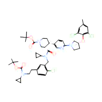 Cc1cc(Cl)c(O[C@@H]2CCN(c3ccc([C@@H]4CCN(C(=O)OC(C)(C)C)C[C@H]4C(=O)N(Cc4cc(CCN(C(=O)OC(C)(C)C)C5CC5)ccc4Cl)C4CC4)cn3)C2)c(Cl)c1